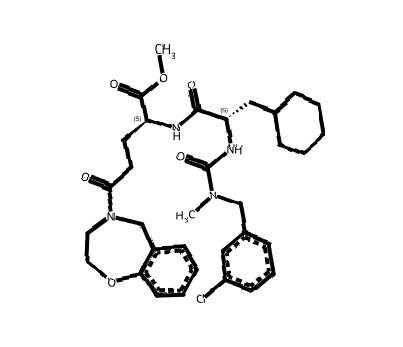 COC(=O)[C@H](CCC(=O)N1CCOc2ccccc2C1)NC(=O)[C@H](CC1CCCCC1)NC(=O)N(C)Cc1cccc(Cl)c1